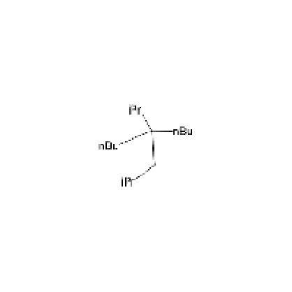 [CH2]CCCC(CCCC)(CC(C)C)C(C)C